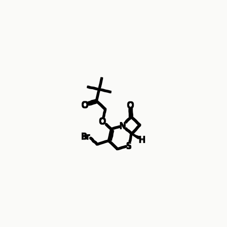 CC(C)(C)C(=O)COC1=C(CBr)CS[C@H]2CC(=O)N12